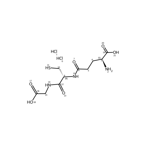 Cl.Cl.N[C@@H](CCC(=O)N[C@@H](CS)C(=O)NCC(=O)O)C(=O)O